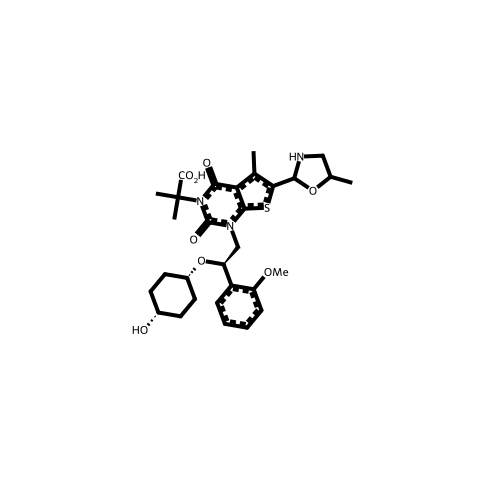 COc1ccccc1[C@H](Cn1c(=O)n(C(C)(C)C(=O)O)c(=O)c2c(C)c(C3NCC(C)O3)sc21)O[C@H]1CC[C@@H](O)CC1